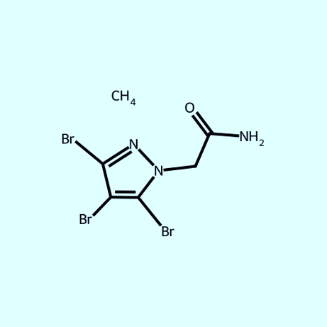 C.NC(=O)Cn1nc(Br)c(Br)c1Br